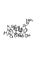 CC(C)CNCC(=O)c1ccc(O)c2c1C[C@H]1C[C@H]3[C@H](N(C)C)C(O)=C(C(N)=O)C(=O)[C@@]3(O)C(O)=C1C2=O